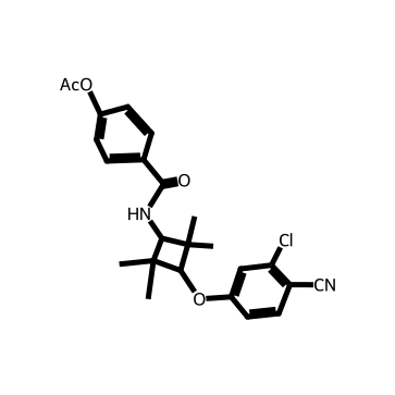 CC(=O)Oc1ccc(C(=O)NC2C(C)(C)C(Oc3ccc(C#N)c(Cl)c3)C2(C)C)cc1